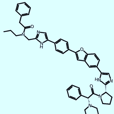 CCCN(Cc1ncc(-c2ccc(-c3cc4cc(-c5cnc([C@@H]6CCCN6C(=O)[C@@H](c6ccccc6)N(CC)CC)[nH]5)ccc4o3)cc2)[nH]1)C(=O)Cc1ccccc1